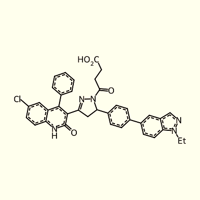 CCn1ncc2cc(-c3ccc(C4CC(c5c(-c6ccccc6)c6cc(Cl)ccc6[nH]c5=O)=NN4C(=O)CCC(=O)O)cc3)ccc21